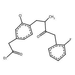 CCC(=O)Cc1ccc(CC(C)C(=O)Cc2ccccc2F)c(Cl)c1